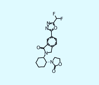 O=C1OCCN1[C@@H]1CCCC[C@H]1N1Cc2ccc(-c3nnc(C(F)F)o3)cc2C1=O